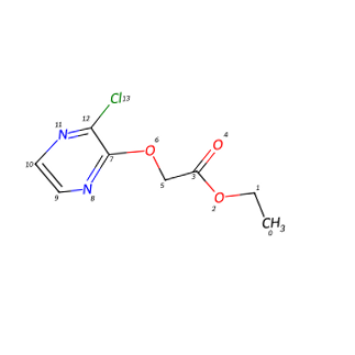 CCOC(=O)COc1nccnc1Cl